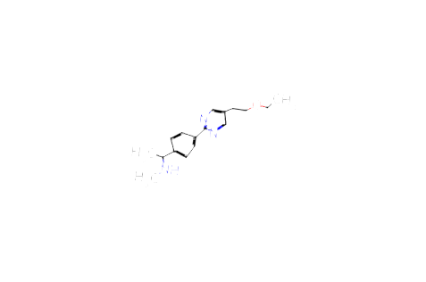 CCOCCc1cnc(-c2ccc(C(C)NC)cc2)nc1